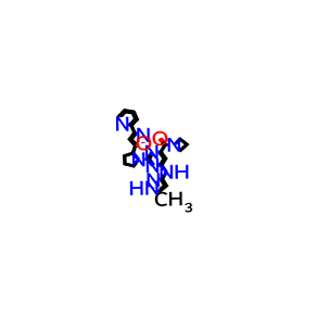 Cc1cc(Nc2cc(C(=O)N3CCC3)nc(N3CCCC3c3cc(-c4ccccn4)no3)n2)n[nH]1